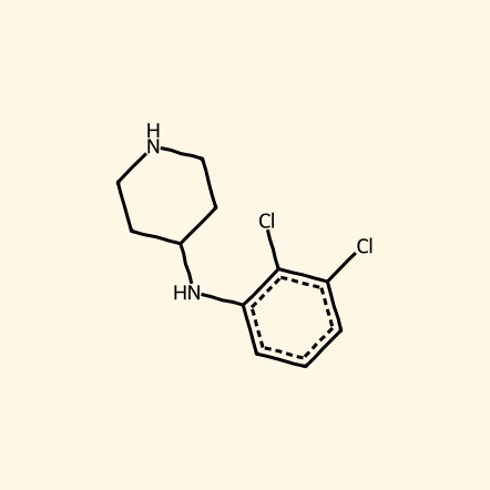 Clc1cccc(NC2CCNCC2)c1Cl